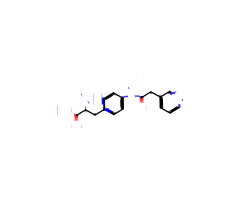 N[C@@H](Cc1ccc(NC(=O)Cc2cccnc2)cc1)C(=O)O